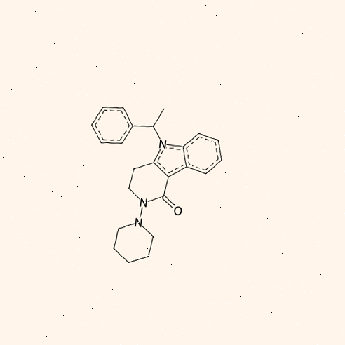 CC(c1ccccc1)n1c2c(c3ccccc31)C(=O)N(N1CCCCC1)CC2